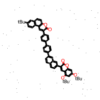 CC(C)(C)Oc1cc(OC(C)(C)C)c2cc(-c3ccc4ccc(-c5ccc(-c6ccc(-c7cc8c(ccc9cc(C(C)(C)C)ccc98)oc7=O)cc6)cc5)cc4c3)c(=O)oc2c1